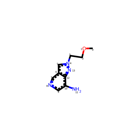 COCCn1cc2cncc(N)c2n1